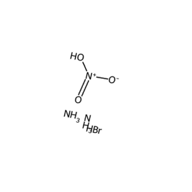 Br.N.N.O=[N+]([O-])O